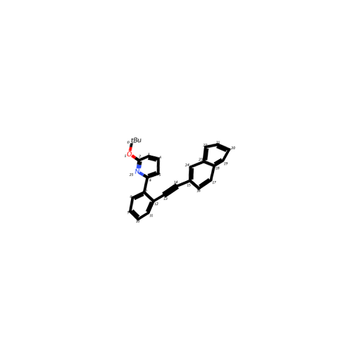 CC(C)(C)Oc1cccc(-c2ccccc2C#Cc2ccc3ccccc3c2)n1